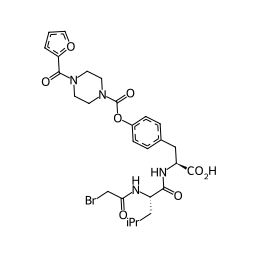 CC(C)C[C@H](NC(=O)CBr)C(=O)N[C@@H](Cc1ccc(OC(=O)N2CCN(C(=O)c3ccco3)CC2)cc1)C(=O)O